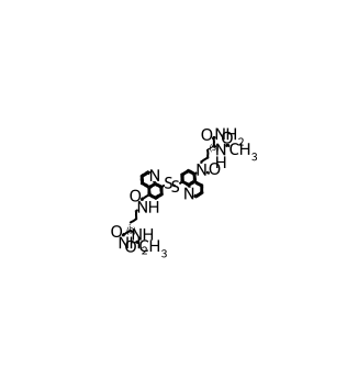 CC(=O)N[C@@H](CCCNC(=O)c1ccc(SSc2ccc(N(C=O)CCC[C@H](NC(C)=O)C(N)=O)c3cccnc23)c2ncccc12)C(N)=O